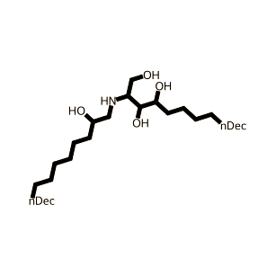 CCCCCCCCCCCCCCCCC(O)CNC(CO)C(O)C(O)CCCCCCCCCCCCCC